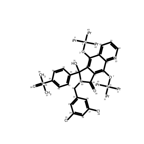 CC(C)[Si](Oc1c2c(c(O[Si](C(C)C)(C(C)C)C(C)C)c3ncccc13)C(=O)N(Cc1cc(Cl)cc(Cl)c1)C2(O)c1ccc(P(C)(C)=O)cc1)(C(C)C)C(C)C